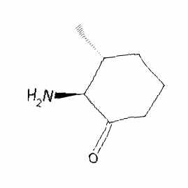 C[C@@H]1CCCC(=O)[C@H]1N